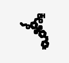 CCCOc1cc(CC(=O)O)cc(S(=O)(=O)c2ccc(Sc3ccncc3)cc2)c1